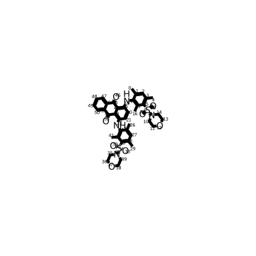 Cc1cc(C)c(S(=O)(=O)N2CCOCC2)c(C)c1Nc1ccc(Nc2c(C)cc(C)c(S(=O)(=O)N3CCOCC3)c2C)c2c1C(=O)c1ccccc1C2=O